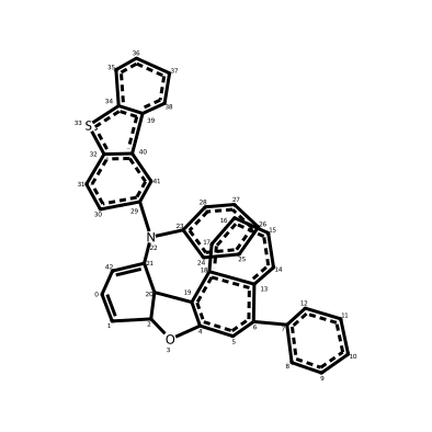 C1=CC2Oc3cc(-c4ccccc4)c4ccccc4c3C2C(N(c2ccccc2)c2ccc3sc4ccccc4c3c2)=C1